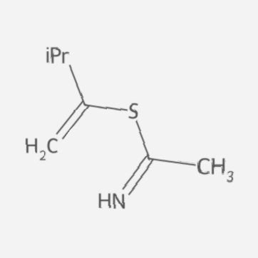 C=C(SC(C)=N)C(C)C